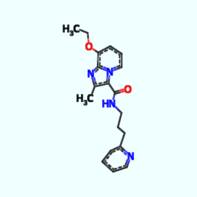 CCOc1cccn2c(C(=O)NCCCc3ccccn3)c(C)nc12